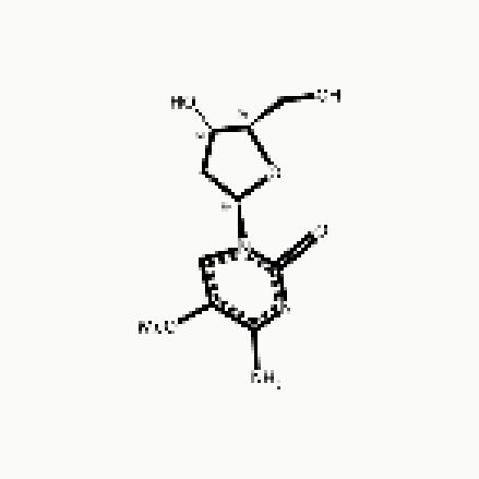 COc1cn([C@H]2C[C@H](O)[C@@H](CO)O2)c(=O)nc1N